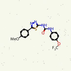 COc1ccc(-c2nnc(NC(=O)Nc3ccc(OC(F)(F)F)cc3)s2)cc1